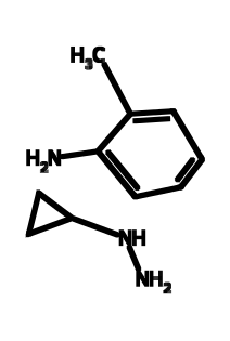 Cc1ccccc1N.NNC1CC1